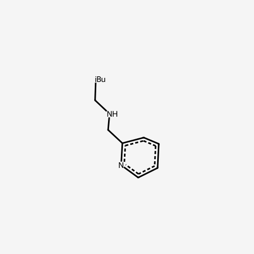 CCC(C)CNCc1ccccn1